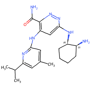 Cc1cc(Nc2cc(N[C@@H]3CCCC[C@@H]3N)nnc2C(N)=O)nc(C(C)C)c1